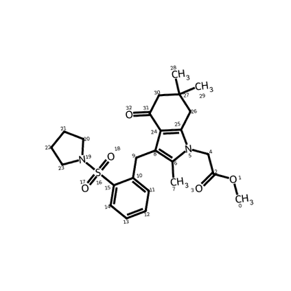 COC(=O)Cn1c(C)c(Cc2ccccc2S(=O)(=O)N2CCCC2)c2c1CC(C)(C)CC2=O